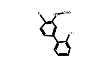 O=CNc1cc(-c2cc[c]cc2O)ccc1F